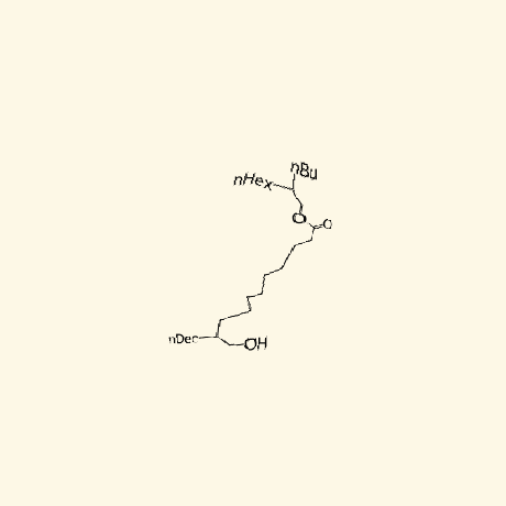 CCCCCCCCCCC(CO)CCCCCCCCC(=O)OCC(CCCC)CCCCCC